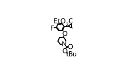 CCOC(=O)c1cc(C2CC2)c(O[C@@H]2CCCN(C(=O)OC(C)(C)C)C2)cc1F